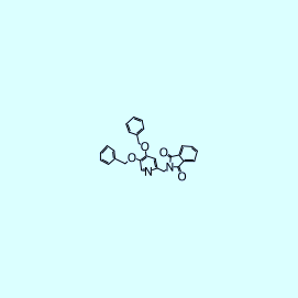 O=C1c2ccccc2C(=O)N1Cc1cc(OCc2ccccc2)c(OCc2ccccc2)cn1